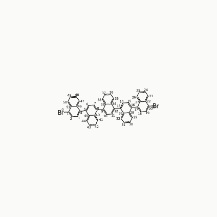 Brc1ccc(-c2ccc(-c3ccc(-c4ccc(-c5ccc(Br)c6ccccc56)c5ccccc45)c4ccccc34)c3ccccc23)c2ccccc12